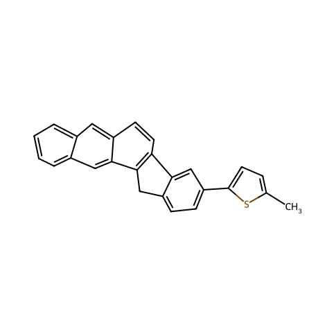 Cc1ccc(-c2ccc3c(c2)-c2ccc4cc5ccccc5cc4c2C3)s1